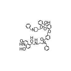 O=C(c1cccc(COc2cccc(C(O)(C(=O)OCC3CCN(Cc4ccccc4)CC3)c3ccccc3)c2)c1)N(CCCNC[C@H](O)c1ccc(O)c2[nH]c(=O)ccc12)Cc1ccccc1